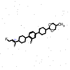 CC1COC(C2CCC(c3ccc(C4CCC(/C(F)=C/CF)CC4)c(F)c3)CC2)OC1